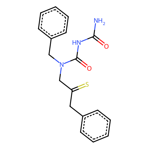 NC(=O)NC(=O)N(CC(=S)Cc1ccccc1)Cc1ccccc1